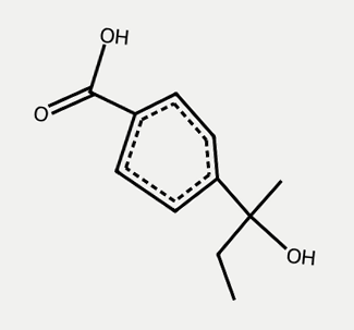 CCC(C)(O)c1ccc(C(=O)O)cc1